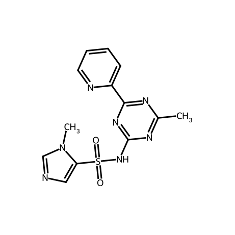 Cc1nc(NS(=O)(=O)c2cncn2C)nc(-c2ccccn2)n1